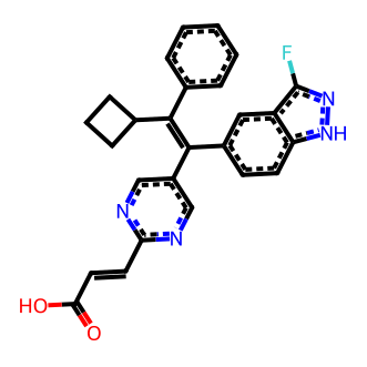 O=C(O)C=Cc1ncc(C(=C(c2ccccc2)C2CCC2)c2ccc3[nH]nc(F)c3c2)cn1